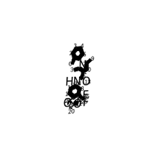 Cc1ccccc1-n1c(C)cc(C(=O)Nc2ccc(S(C)(=O)=O)c(C(F)(F)F)c2)c1C